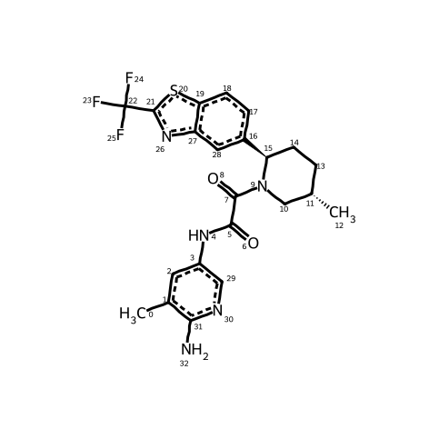 Cc1cc(NC(=O)C(=O)N2C[C@@H](C)CC[C@@H]2c2ccc3sc(C(F)(F)F)nc3c2)cnc1N